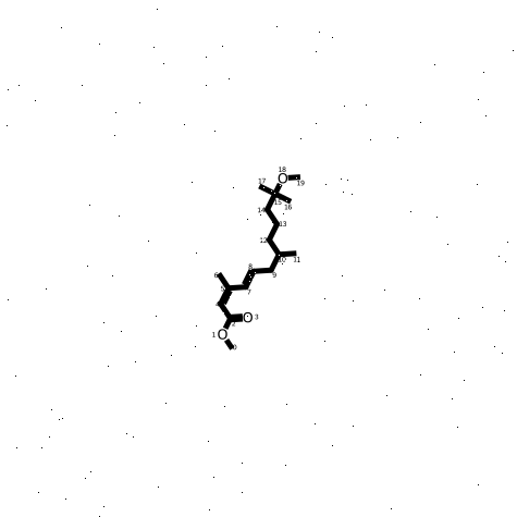 COC(=O)C=C(C)C=CCC(C)CCCC(C)(C)OC